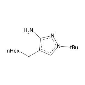 CCCCCCCc1cn(C(C)(C)C)nc1N